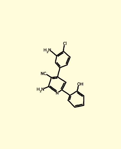 N#Cc1c(-c2ccc(Cl)c(N)c2)cc(-c2ccccc2O)nc1N